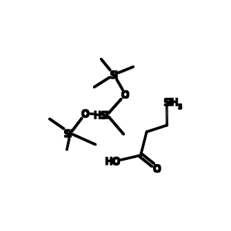 C[SiH](O[Si](C)(C)C)O[Si](C)(C)C.O=C(O)CC[SiH3]